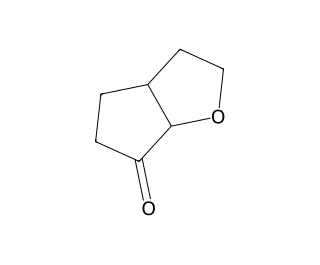 O=C1CCC2CCOC12